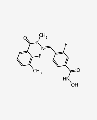 Cc1cccc(C(=O)N(C)/N=C/c2ccc(C(=O)NO)cc2F)c1F